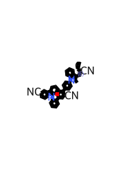 C=C=C/C(C#N)=C\c1c(C)n(-c2ccc(-c3ccc(-c4ccccc4-n4c5c(c6cc(C#N)ccc64)CCC=C5)cc3C#N)cc2)c2ccccc12